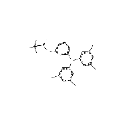 Cc1cc(C)cc(P(c2cc(C)cc(C)c2)c2cccc(NC(=O)C(C)(C)C)n2)c1